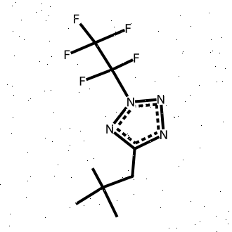 CC(C)(C)Cc1nnn(C(F)(F)C(F)(F)F)n1